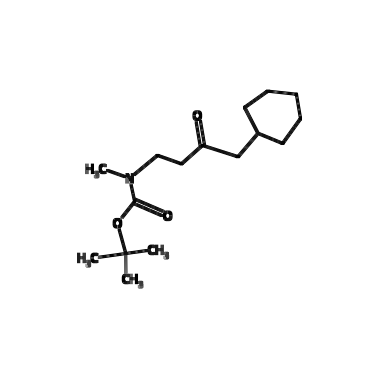 CN(CCC(=O)CC1CCCCC1)C(=O)OC(C)(C)C